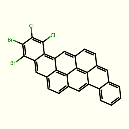 Clc1c(Br)c(Br)c2cc3ccc4cc5c6ccccc6cc6ccc7cc(c2c1Cl)c3c4c7c65